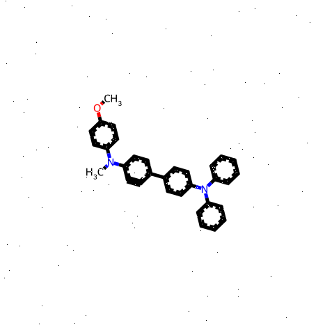 COc1ccc(N(C)c2c#cc(-c3ccc(N(c4ccccc4)c4ccccc4)cc3)cc2)cc1